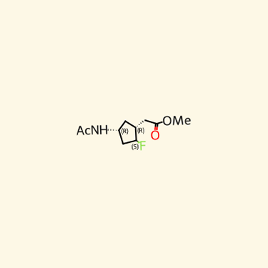 COC(=O)C[C@H]1C[C@@H](NC(C)=O)C[C@@H]1F